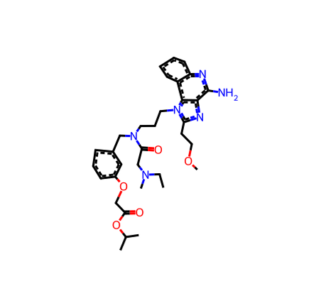 CCN(C)CC(=O)N(CCCn1c(CCOC)nc2c(N)nc3ccccc3c21)Cc1cccc(OCC(=O)OC(C)C)c1